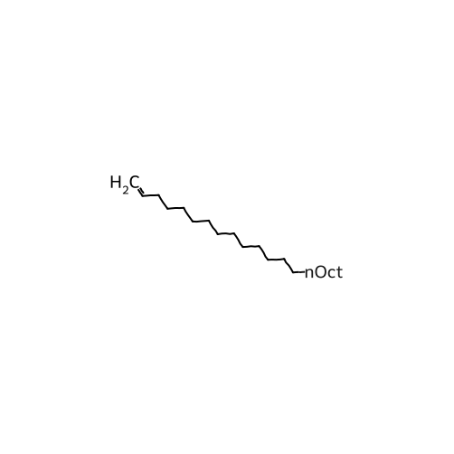 C=CCCCCCCCCCCCCCCCCCCCC